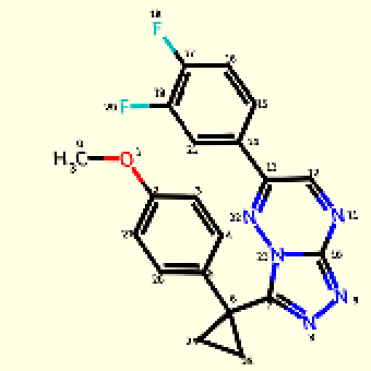 COc1ccc(C2(c3nnc4ncc(-c5ccc(F)c(F)c5)nn34)CC2)cc1